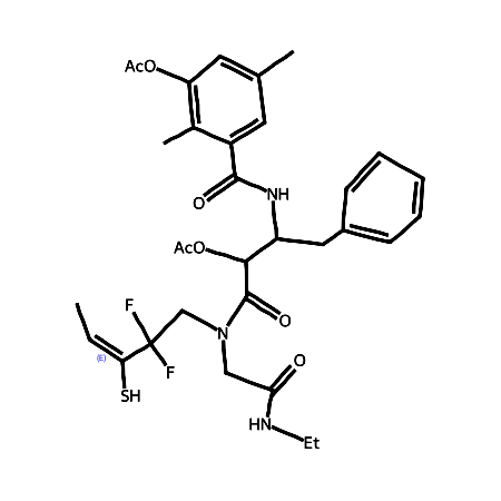 C/C=C(/S)C(F)(F)CN(CC(=O)NCC)C(=O)C(OC(C)=O)C(Cc1ccccc1)NC(=O)c1cc(C)cc(OC(C)=O)c1C